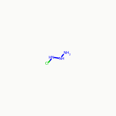 NNNCl